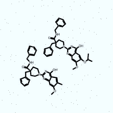 COc1cc2nc(N3CCC(Cc4ccccc4)(C(=O)NCc4ccccc4)CC3)nc(O)c2cc1C.COc1cc2nc(N3CCC(Cc4ccccc4)(C(=O)NCc4ccccc4)CC3)nc(O)c2cc1OC(C)C